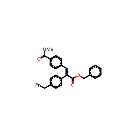 COC(=O)c1ccc(/C=C(/C(=O)OCc2ccccc2)c2ccc(CC(C)C)cc2)cc1